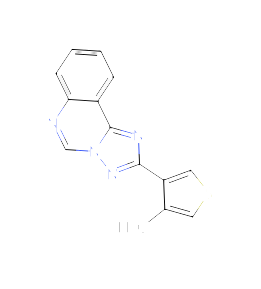 Cc1cscc1-c1nc2c3ccccc3ncn2n1